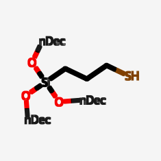 CCCCCCCCCCO[Si](CCCS)(OCCCCCCCCCC)OCCCCCCCCCC